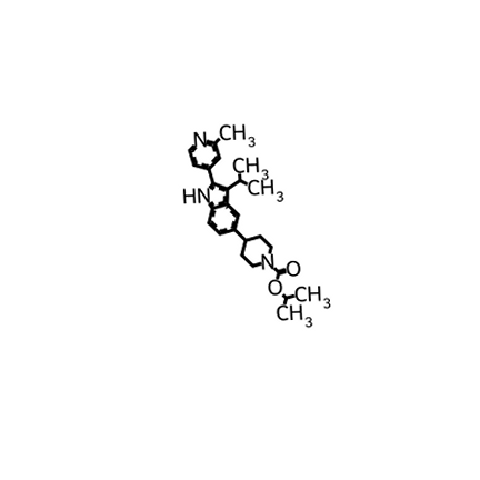 Cc1cc(-c2[nH]c3ccc(C4CCN(C(=O)OC(C)C)CC4)cc3c2C(C)C)ccn1